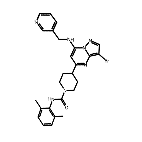 Cc1cccc(C)c1NC(=O)N1CCC(c2cc(NCc3cccnc3)n3ncc(Br)c3n2)CC1